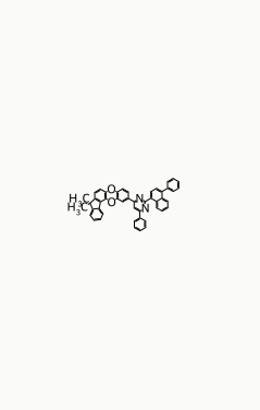 CC1(C)c2ccccc2-c2c1ccc1c2Oc2cc(-c3cc(-c4ccccc4)nc(-c4ccc(-c5ccccc5)c5ccccc45)n3)ccc2O1